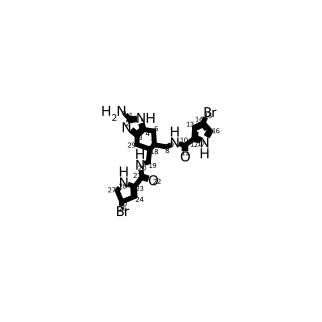 Nc1nc2c([nH]1)CC(CNC(=O)c1cc(Br)c[nH]1)C(CNC(=O)C1=CC(Br)CN1)C2